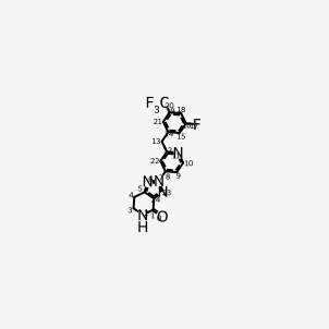 O=C1NCCc2nn(-c3ccnc(Cc4cc(F)cc(C(F)(F)F)c4)c3)nc21